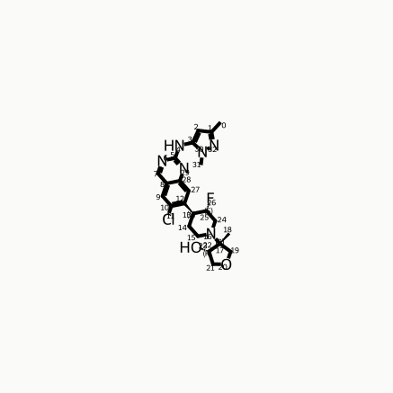 Cc1cc(Nc2ncc3cc(Cl)c([C@@H]4CCN([C@]5(C)COC[C@@H]5O)C[C@H]4F)cc3n2)n(C)n1